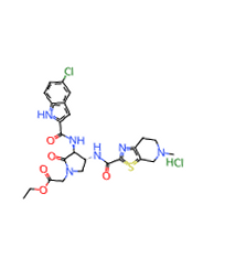 CCOC(=O)CN1C[C@@H](NC(=O)c2nc3c(s2)CN(C)CC3)[C@H](NC(=O)c2cc3cc(Cl)ccc3[nH]2)C1=O.Cl